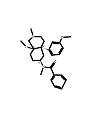 COc1cccc([C@@]23CCN(C)C[C@@]2(OC)CC[C@H](N(C)C(=O)c2ccccc2)C3)c1